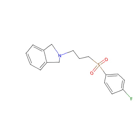 O=S(=O)(CCCN1Cc2ccccc2C1)c1ccc(F)cc1